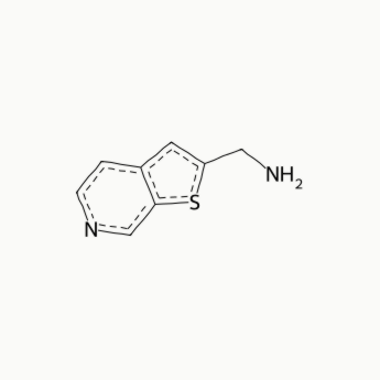 NCc1cc2ccncc2s1